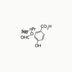 CCCOC=O.O=C(O)c1ccc(O)cc1.[Na+].[OH-]